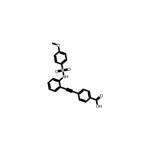 COc1ccc(S(=O)(=O)Nc2ccccc2C#Cc2ccc(C(=O)O)cc2)cc1